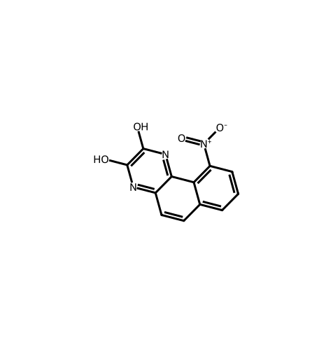 O=[N+]([O-])c1cccc2ccc3nc(O)c(O)nc3c12